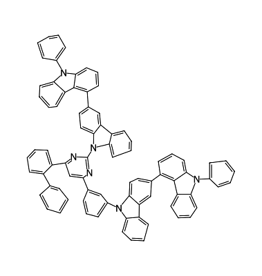 c1ccc(-c2ccccc2-c2cc(-c3cccc(-n4c5ccccc5c5cc(-c6cccc7c6c6ccccc6n7-c6ccccc6)ccc54)c3)nc(-n3c4ccccc4c4cc(-c5cccc6c5c5ccccc5n6-c5ccccc5)ccc43)n2)cc1